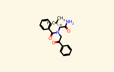 CC(C)[C@H](C(N)=O)N(CC(=O)c1ccccc1)C(=O)c1ccccc1